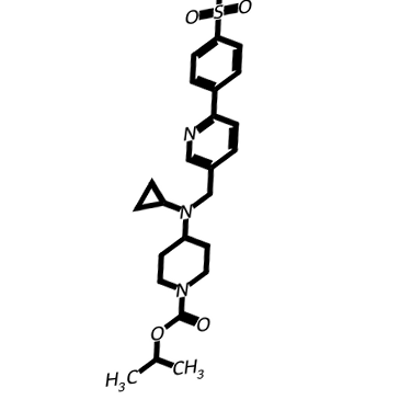 CC(C)OC(=O)N1CCC(N(Cc2ccc(-c3ccc(S(C)(=O)=O)cc3)nc2)C2CC2)CC1